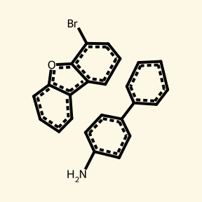 Brc1cccc2c1oc1ccccc12.Nc1ccc(-c2ccccc2)cc1